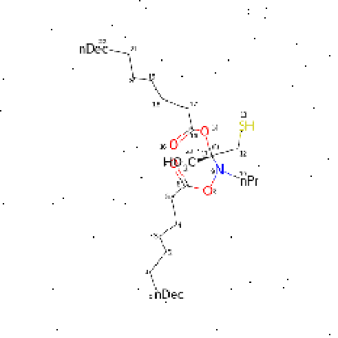 CCCCCCCCCCCCCCCC(=O)ON(CCC)[C@@](CS)(OC(=O)CCCCCCCCCCCCCCC)C(=O)O